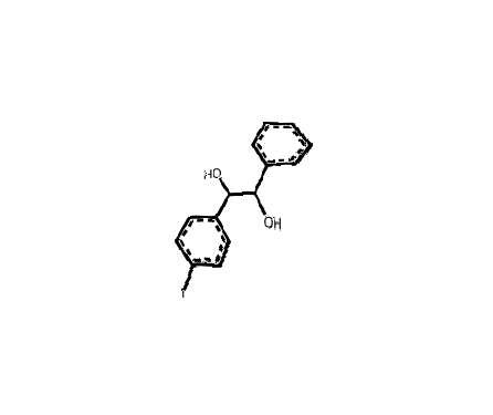 OC(c1ccccc1)C(O)c1ccc(I)cc1